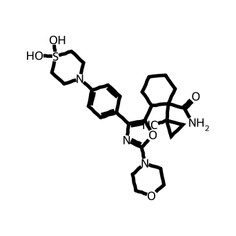 N#CC1(C2(C(N)=O)CCCCC2c2oc(N3CCOCC3)nc2-c2ccc(N3CCS(O)(O)CC3)cc2)CC1